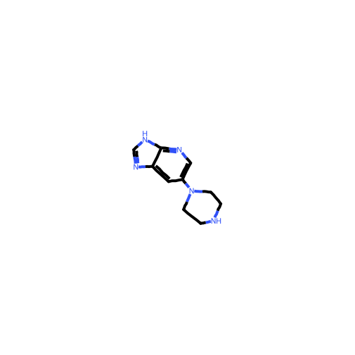 c1nc2cc(N3CCNCC3)cnc2[nH]1